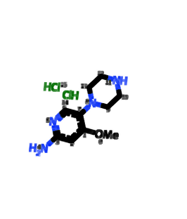 COc1cc(N)ncc1N1CCNCC1.Cl.Cl